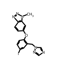 Cn1nnc2ccc(Oc3ccc(I)cc3Cn3cncn3)cc21